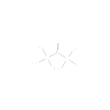 CN([Si](C)(Cl)Cl)[Si](Cl)(Cl)Cl